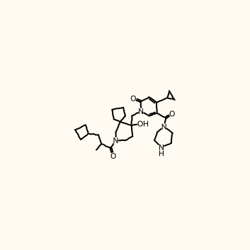 CC(CC1CCC1)C(=O)N1CCC(O)(Cn2cc(C(=O)N3CCNCC3)c(C3CC3)cc2=O)C2(CCCC2)C1